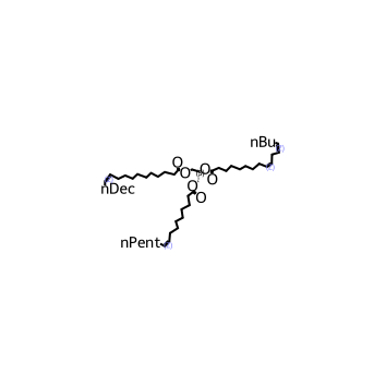 CCCC/C=C\C/C=C\CCCCCCCC(=O)O[C@H](COC(=O)CCCCCCC/C=C\CCCCC)COC(=O)CCCCCCCCC/C=C\CCCCCCCCCC